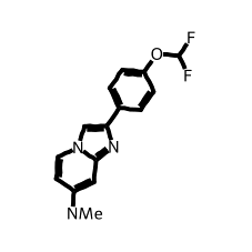 CNc1ccn2cc(-c3ccc(OC(F)F)cc3)nc2c1